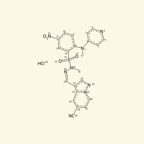 CN(c1ccncc1)c1ccc([N+](=O)[O-])cc1S(=O)(=O)N(C)/N=C\c1cnn2ccc(C#N)cc12.Cl